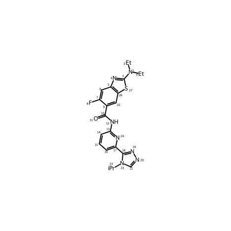 CCN(CC)c1nc2cc(F)c(C(=O)Nc3cccc(-c4nncn4C(C)C)n3)cc2s1